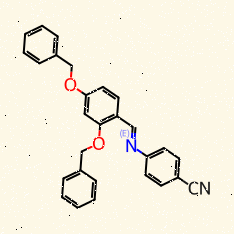 N#Cc1ccc(/N=C/c2ccc(OCc3ccccc3)cc2OCc2ccccc2)cc1